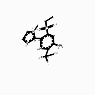 CCS(=O)(=O)c1cc(N)c(C(F)(F)F)nc1-c1nccn1C